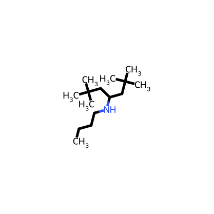 CCCCNC(CC(C)(C)C)CC(C)(C)C